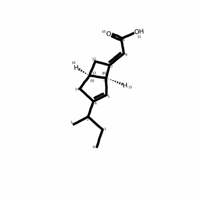 CCC(C)C1=C[C@@H]2C(=CC(=O)O)C[C@@H]2C1